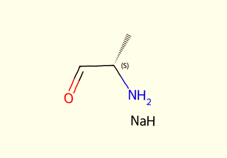 C[C@H](N)C=O.[NaH]